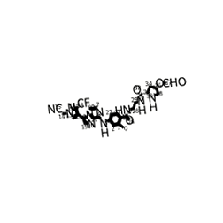 Cc1cc(Nc2nccn3c(-c4cn(CC#N)nc4C(F)(F)F)cnc23)ccc1C(=O)NCCNC(=O)[C@@H]1C[C@@H](OC=O)CN1